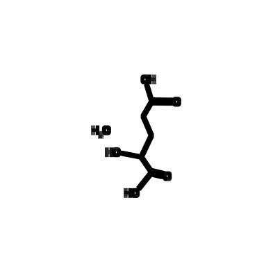 O.O=C(O)CCC(O)C(=O)O